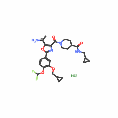 C[C@H](N)c1oc(-c2ccc(OC(F)F)c(OCC3CC3)c2)nc1C(=O)N1CCC(C(=O)NCC2CC2)CC1.Cl